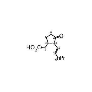 CCCC=CC1C(=O)CCC1CC(=O)O